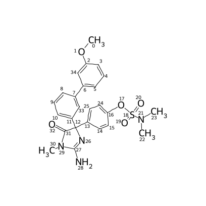 COc1cccc(-c2cccc(C3(c4ccc(OS(=O)(=O)N(C)C)cc4)N=C(N)N(C)C3=O)c2)c1